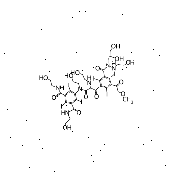 COCC(=O)c1c(I)c(C(=O)C(NCCO)C(=O)N(CCO)c2c(I)c(C(=O)NCCO)c(I)c(C(=O)NCCO)c2I)c(I)c(C(=O)N(CC(O)CO)NCCO)c1I